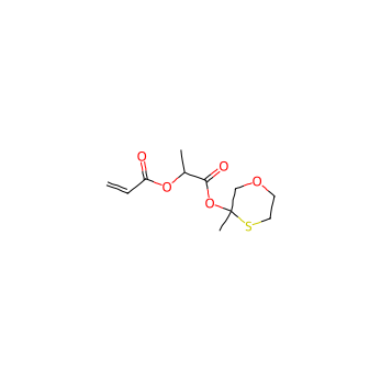 C=CC(=O)OC(C)C(=O)OC1(C)COCCS1